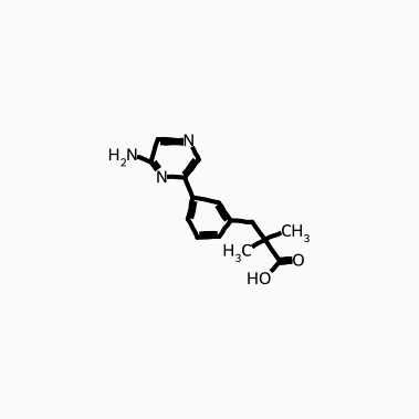 CC(C)(Cc1cccc(-c2cncc(N)n2)c1)C(=O)O